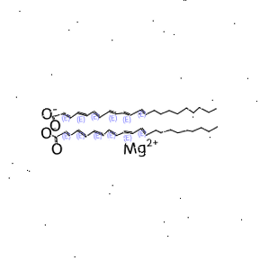 CCCCCCCCC/C=C/C=C/C=C/C=C/C=C/C=C/C(=O)[O-].CCCCCCCCC/C=C/C=C/C=C/C=C/C=C/C=C/C(=O)[O-].[Mg+2]